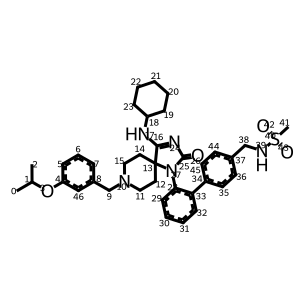 CC(C)Oc1cccc(CN2CCC3(CC2)C(NC2CCCCC2)=NC(=O)N3c2ccccc2-c2ccc(CNS(C)(=O)=O)cc2)c1